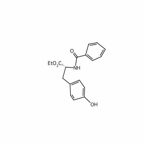 CCOC(=O)[C@@H](Cc1ccc(O)cc1)NC(=O)c1ccccc1